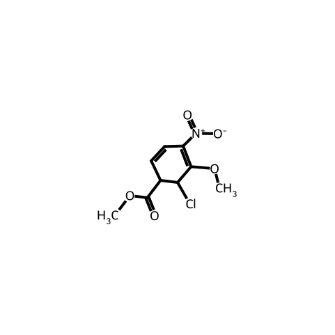 COC(=O)C1C=CC([N+](=O)[O-])=C(OC)C1Cl